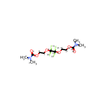 CN(C)C(=O)OCCOC(F)(F)C(F)(F)OCCOC(=O)N(C)C